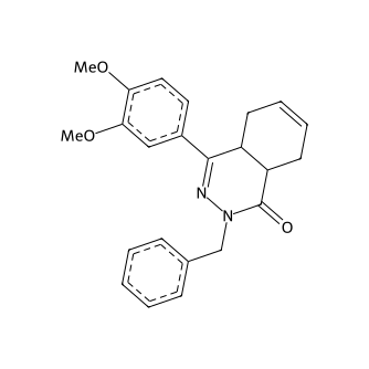 COc1ccc(C2=NN(Cc3ccccc3)C(=O)C3CC=CCC23)cc1OC